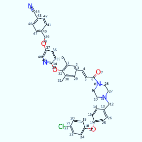 Cc1cc(C=CC(=O)N2CCN(Cc3ccc(Oc4ccc(Cl)cc4)cc3)CC2)cc(C)c1Oc1ccc(OCc2ccc(C#N)cc2)cn1